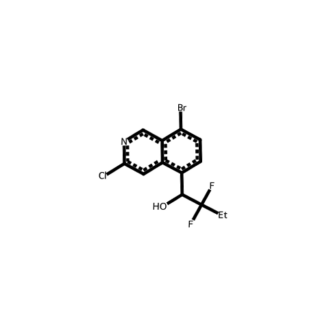 CCC(F)(F)C(O)c1ccc(Br)c2cnc(Cl)cc12